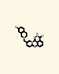 O=c1[nH]nc2c3c(cccc13)N=C1C=CC(CN3CCc4ccc(F)cc4C3)=CN12